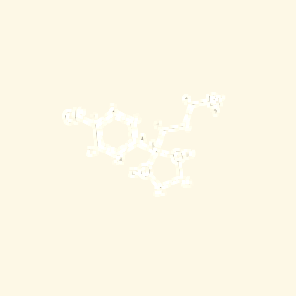 Clc1ccc(C2(CCCBr)OCCO2)cc1